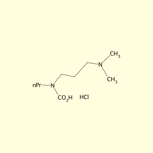 CCCN(CCCN(C)C)C(=O)O.Cl